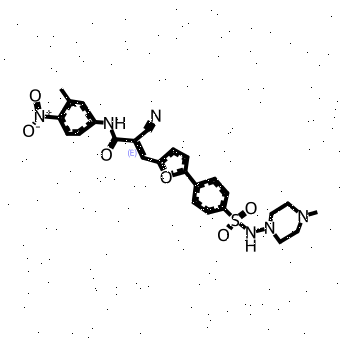 Cc1cc(NC(=O)/C(C#N)=C/c2ccc(-c3ccc(S(=O)(=O)NN4CCN(C)CC4)cc3)o2)ccc1[N+](=O)[O-]